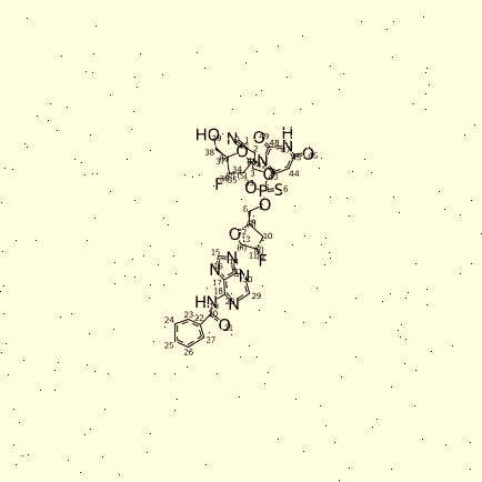 N#CCCOP(=S)(OC[C@H]1[CH][C@@H](F)[C@H](n2cnc3c(NC(=O)c4ccccc4)ncnc32)O1)O[C@@H]1[C@H](F)[C@@H](CO)O[C@H]1n1ccc(=O)[nH]c1=O